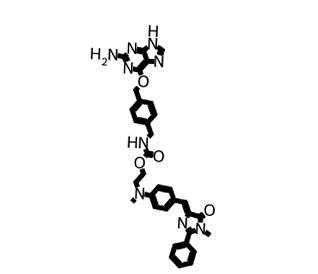 CN1C(=O)/C(=C/c2ccc(N(C)CCOC(=O)NCc3ccc(COc4nc(N)nc5[nH]cnc45)cc3)cc2)N=C1c1ccccc1